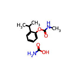 CNC(=O)Oc1ccccc1C(C)C.NC(=O)O